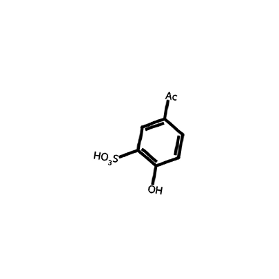 CC(=O)c1ccc(O)c(S(=O)(=O)O)c1